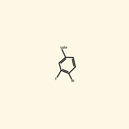 CSc1ccc(Br)c(F)c1